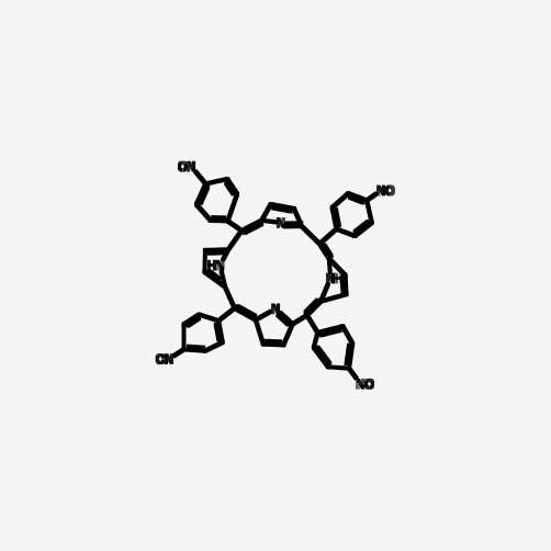 O=Nc1ccc(-c2c3nc(c(-c4ccc(N=O)cc4)c4ccc([nH]4)c(-c4ccc(N=O)cc4)c4nc(c(-c5ccc(N=O)cc5)c5ccc2[nH]5)C=C4)C=C3)cc1